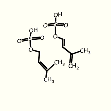 C=C(C)C=COS(=O)(=O)O.CC(C)=CCOS(=O)(=O)O